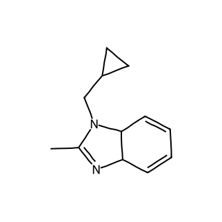 CC1=NC2C=CC=CC2N1CC1CC1